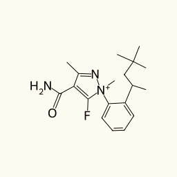 CC1=N[N+](C)(c2ccccc2C(C)CC(C)(C)C)C(F)=C1C(N)=O